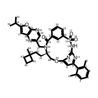 Cc1cccc(C)c1-c1cc2nc(n1)NS(=O)(=O)c1cccc(c1)C(=O)N(Cc1cnc3oc(C(C)C)cc3n1)[C@H](CCC1(C)CCC1)CO2